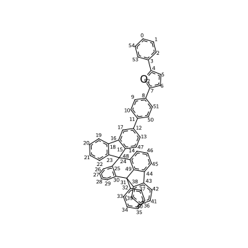 c1ccc(-c2ccc(-c3ccc(-c4ccc5c(c4)-c4ccccc4C54c5ccccc5C5(c6ccccc6)c6ccccc6-c6cccc4c65)cc3)o2)cc1